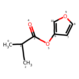 CC(C)C(=O)Oc1ccoc1